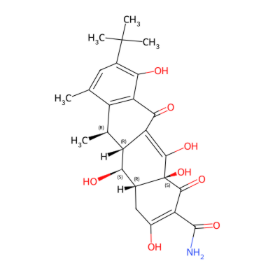 Cc1cc(C(C)(C)C)c(O)c2c1[C@H](C)[C@@H]1C(=C(O)[C@]3(O)C(=O)C(C(N)=O)=C(O)C[C@@H]3[C@H]1O)C2=O